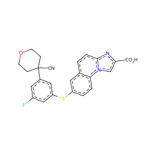 N#CC1(c2cc(F)cc(Sc3ccc4c(ccc5nc(C(=O)O)cn54)c3)c2)CCOCC1